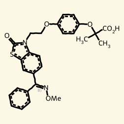 CO/N=C(\c1ccccc1)c1ccc2c(c1)sc(=O)n2CCOc1ccc(OC(C)(C)C(=O)O)cc1